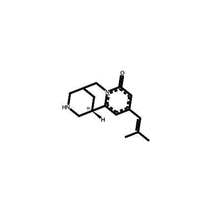 CC(C)=Cc1cc2n(c(=O)c1)CC1CNC[C@@H]2C1